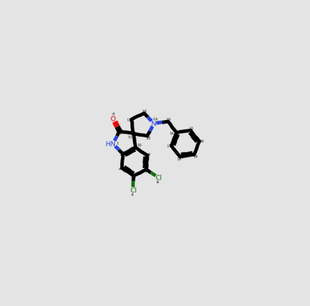 O=C1Nc2cc(Cl)c(Cl)cc2C12CCN(Cc1ccccc1)C2